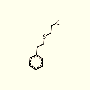 ClCCSCCc1ccccc1